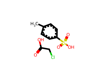 Cc1ccc(S(=O)(=O)O)cc1.O=C(O)CCl